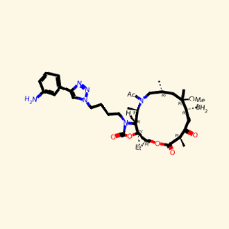 B[C@@H]1CC(=O)[C@@H](C)C(=O)O[C@H](CC)[C@@]2(C)OC(=O)N(CCCCn3cc(-c4cccc(N)c4)nn3)[C@@H]2[C@@H](C)N(C(C)=O)C[C@H](C)C[C@@]1(C)OC